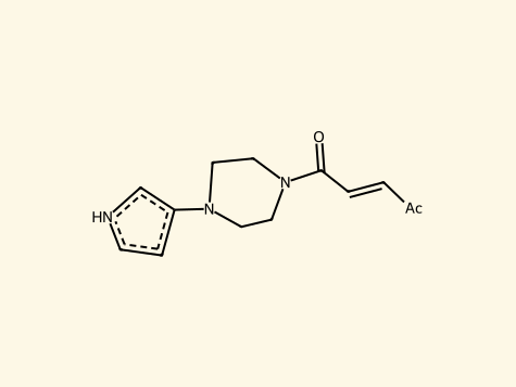 CC(=O)C=CC(=O)N1CCN(c2cc[nH]c2)CC1